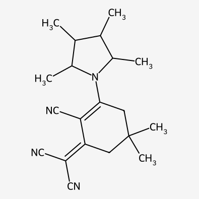 CC1C(C)C(C)N(C2=C(C#N)C(=C(C#N)C#N)CC(C)(C)C2)C1C